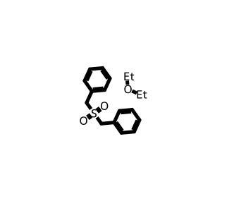 CCOCC.O=S(=O)(Cc1ccccc1)Cc1ccccc1